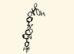 Cc1nc(-c2ccc(C(F)(F)F)cc2)ccc1CC(=O)N(C)Cc1ccc(OC(C)(C)C(=O)O)cc1